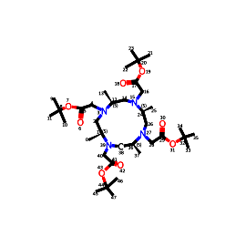 C[C@H]1CN(CC(=O)OC(C)(C)C)[C@@H](C)CN(CC(=O)OC(C)(C)C)[C@@H](C)CN(CC(=O)OC(C)(C)C)[C@@H](C)CN1CC(=O)OC(C)(C)C